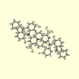 Cc1cccc(N(c2cc(C(C)C)c3ccc4c(N(c5cccc(C)c5)c5c(C)ccc6c5oc5ccccc56)cc(C(C)C)c5ccc2c3c54)c2c(C)ccc3c2oc2ccccc23)c1